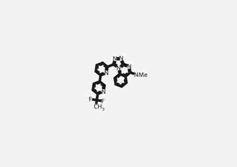 CNc1nc2nnc(-c3cccc(-c4ccc(C(C)(F)F)nc4)n3)n2c2ccccc12